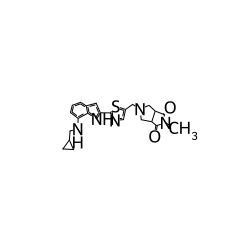 CN1C(=O)C2CN(Cc3cnc(-c4cc5cccc(NCC6CC6)c5[nH]4)s3)CC2C1=O